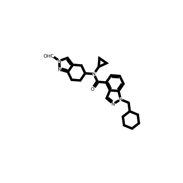 O=Cn1cc2c(n1)CCC(N(C(=O)c1cccc3c1cnn3CC1CCCCC1)C1CC1)C2